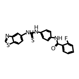 O=C(Nc1ccc(NC(=S)Nc2ccc3scnc3c2)cc1)c1ccccc1F